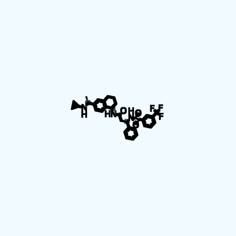 C[C@@H](NC1CC1)c1ccc2c(c1)CCC[C@H]2NC(=O)C[C@@H](NS(=O)(=O)c1cccc(C(F)(F)F)c1)c1ccccc1